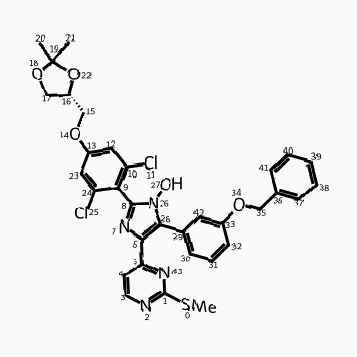 CSc1nccc(-c2nc(-c3c(Cl)cc(OC[C@@H]4COC(C)(C)O4)cc3Cl)n(O)c2-c2cccc(OCc3ccccc3)c2)n1